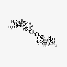 COC(=O)N[C@@H](C(=O)N[C@H](c1ncc(-c2ccc(-c3ccc(-c4cnc([C@@H](NC(=O)[C@H](NC5OCO5)C(C)C)C(C)C)[nH]4)cc3)cc2)[nH]1)C(C)C)C(C)C